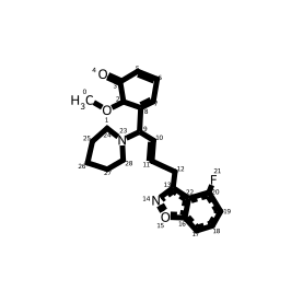 COC1C(=O)[C]=CC=C1C(C=CCc1noc2cccc(F)c12)N1CCCCC1